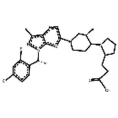 Cc1nn([C@H](C)c2ccc(Cl)cc2F)c2nc(N3CC[C@H](N4CCCC4CCC(=O)O)[C@H](C)C3)cnc12